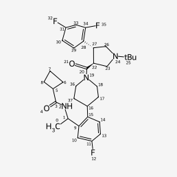 CC(NC(=O)C1CCC1)c1cc(F)ccc1C1CCN(C(=O)[C@@H]2CN(C(C)(C)C)C[C@H]2c2ccc(F)cc2F)CC1